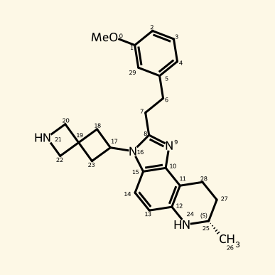 COc1cccc(CCc2nc3c4c(ccc3n2C2CC3(CNC3)C2)N[C@@H](C)CC4)c1